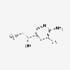 N#Cc1cc(C(O)C[N+](=O)[O-])cnc1N